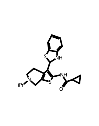 CC(C)N1CCc2c(sc(NC(=O)C3CC3)c2C2Nc3ccccc3S2)C1